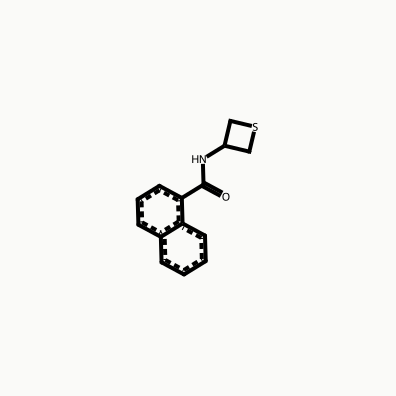 O=C(NC1CSC1)c1cccc2ccccc12